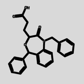 O=C(O)CCC1OC(c2ccccc2)c2ccccc2N(Cc2ccccc2)C1=O